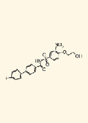 O=C(NS(=O)(=O)c1ccc(OCCO)c([N+](=O)[O-])c1)c1ccc(-c2ccc(F)cc2)cc1